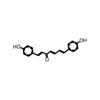 O=C(C=CC=Cc1ccc(O)cc1)C=Cc1ccc(O)cc1